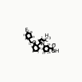 Cc1ccc(-c2ccccc2OCc2ccc(F)cc2)n1-c1cccc(C(=O)O)c1